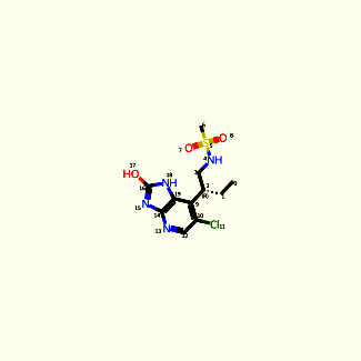 CC[C@@H](CNS(C)(=O)=O)c1c(Cl)cnc2nc(O)[nH]c12